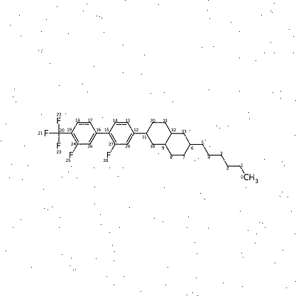 CCCCCCC1CCC2CC(c3ccc(-c4ccc(C(F)(F)F)c(F)c4)c(F)c3)CCC2C1